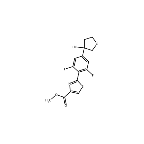 COC(=O)c1csc(-c2c(F)cc(C3(O)CCOC3)cc2F)n1